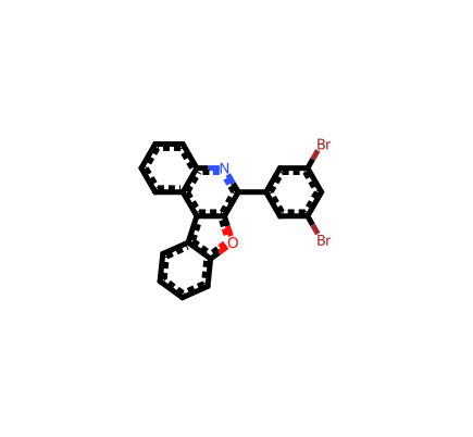 Brc1cc(Br)cc(-c2nc3ccccc3c3c2oc2ccccc23)c1